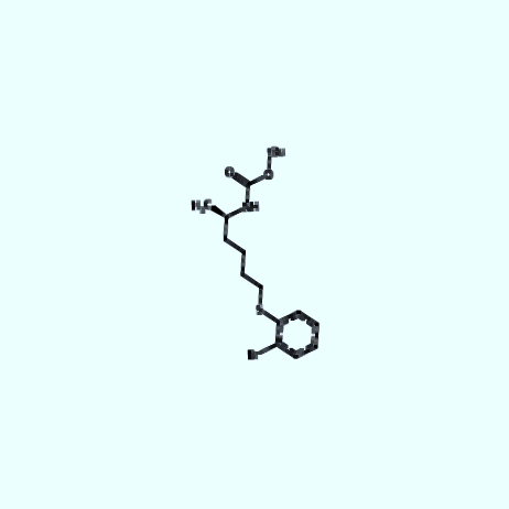 C[C@H](CCCCSc1ccccc1Br)NC(=O)OC(C)(C)C